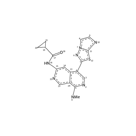 CNc1ncc(-c2nn3ccnc3s2)c2cc(NC(=O)C3CC3)ncc12